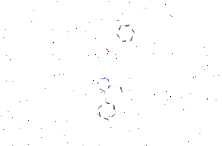 Cc1cc(-c2nn3c(c2C(N)=O)CN(C(=O)Nc2ccc(C#N)c(C(F)(F)F)c2)CC3)ccc1F